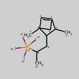 CC1C2=CC(C)(C2)C1CC(C)P(I)(I)(I)I